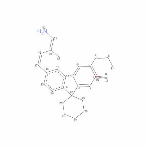 C=C\C=C(/C=C\C(\C=C/C)=C\C)C1(c2ccc(/C=C\C(C)=C/N)cc2)CCCCC1